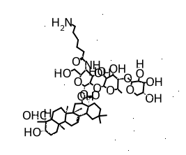 CC1O[C@@H](OC2C(O)[C@@H](NC(=O)CCCCCN)C(CO)O[C@H]2OC(=O)[C@]23CCC(C)(C)CC2C2=CCC4C5(C)CC[C@H](O)[C@](C)(C=O)[C@@H]5CC[C@]4(C)[C@]2(C)CC3O)C(O)C(O)[C@H]1O[C@@H]1OC[C@@H](O)C(O)C1O